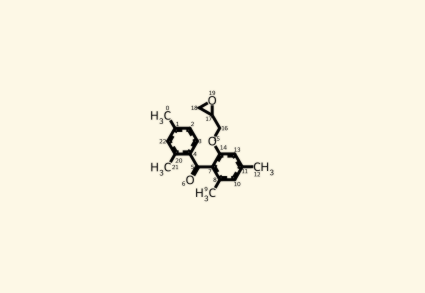 Cc1ccc(C(=O)c2c(C)cc(C)cc2OCC2CO2)c(C)c1